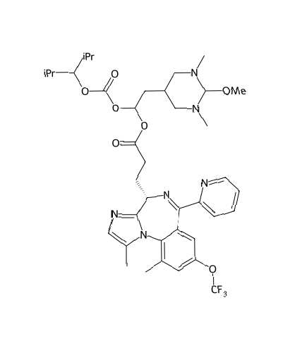 COC1N(C)CC(CC(OC(=O)CC[C@@H]2N=C(c3ccccn3)c3cc(OC(F)(F)F)cc(C)c3-n3c(C)cnc32)OC(=O)OC(C(C)C)C(C)C)CN1C